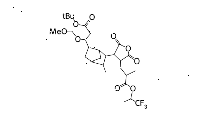 COCOC(CC(=O)OC(C)(C)C)C1CC2CC1C(C1C(=O)OC(=O)C1CC(C)C(=O)OC(C)C(F)(F)F)C2C